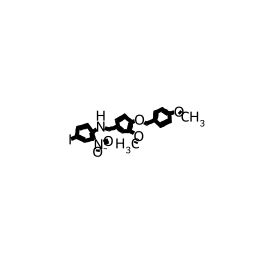 COc1ccc(COc2ccc(CNc3ccc(I)cc3[N+](=O)[O-])cc2OC)cc1